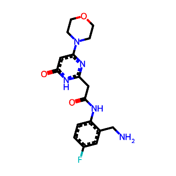 NCc1cc(F)ccc1NC(=O)Cc1nc(N2CCOCC2)cc(=O)[nH]1